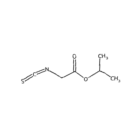 CC(C)OC(=O)CN=C=S